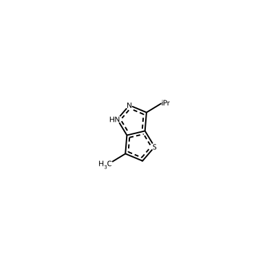 Cc1csc2c(C(C)C)n[nH]c12